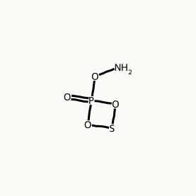 NOP1(=O)OSO1